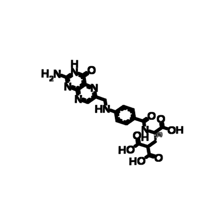 Nc1nc2ncc(CNc3ccc(C(=O)N[C@@H](CC(C(=O)O)C(=O)O)C(=O)O)cc3)nc2c(=O)[nH]1